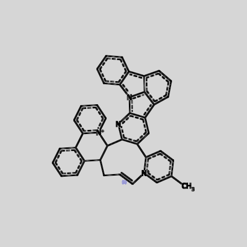 Cc1ccc2[n+](c1)/C=C/CC1c3ccccc3-c3cccc[n+]3C1c1nc3c(cc1-2)c1cccc2c4ccccc4n3c21